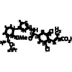 CCCO[C@@H](c1cccc(-c2csc(NC(=O)c3cc(Cl)c(C=C(C)C(=O)O)c(Cl)c3)n2)c1OC)C(C)C